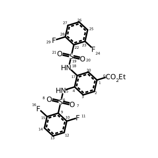 CCOC(=O)c1ccc(NS(=O)(=O)c2c(F)cccc2F)c(NS(=O)(=O)c2c(F)cccc2F)c1